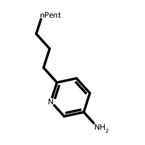 CCCCCCCCc1ccc(N)cn1